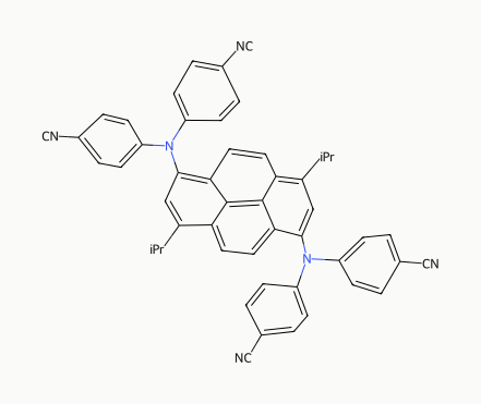 [C-]#[N+]c1ccc(N(c2ccc([N+]#[C-])cc2)c2cc(C(C)C)c3ccc4c(N(c5ccc(C#N)cc5)c5ccc(C#N)cc5)cc(C(C)C)c5ccc2c3c54)cc1